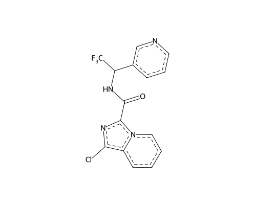 O=C(NC(c1cccnc1)C(F)(F)F)c1nc(Cl)c2ccccn12